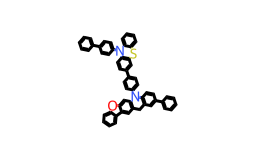 c1ccc(-c2ccc(N3c4ccccc4Sc4cc(-c5ccc(N6c7ccc(-c8ccccc8)cc7Cc7cc8c(cc76)oc6ccccc68)cc5)ccc43)cc2)cc1